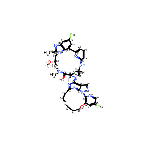 CO[C@H]1CN(C)C(=O)[C@@H]2C[C@@H](CN2c2nc3nc4c2cnn4-c2ncc(F)cc2OCCCCCC3)Nc2cccc(n2)-c2cc(F)cc3nc(C)n(c23)C1